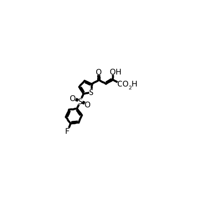 O=C(O)C(O)=CC(=O)c1ccc(S(=O)(=O)c2ccc(F)cc2)s1